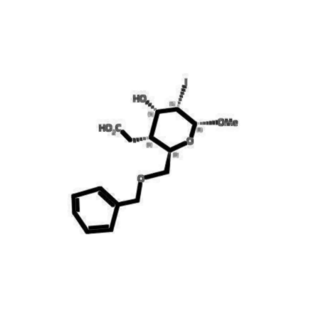 CO[C@@H]1O[C@@H](COCc2ccccc2)[C@H](CC(=O)O)[C@H](O)[C@@H]1I